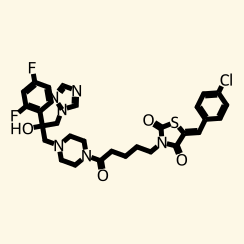 O=C(CCCCN1C(=O)SC(=Cc2ccc(Cl)cc2)C1=O)N1CCN(CC(O)(Cn2cncn2)c2ccc(F)cc2F)CC1